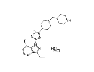 CCc1nn(-c2noc(C3CCN(CC4CCNCC4)CC3)n2)c2c(F)cccc12.Cl.Cl